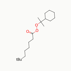 CC(C)(C)CCCCCC(=O)OOC(C)(C)C1CCCCC1